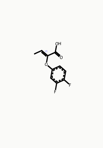 C/C=C(\Oc1ccc(F)c(F)c1)C(=O)O